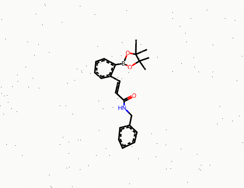 CC1(C)OB(c2ccccc2C=CC(=O)NCc2ccccc2)OC1(C)C